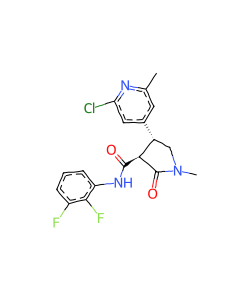 Cc1cc([C@@H]2CN(C)C(=O)[C@H]2C(=O)Nc2cccc(F)c2F)cc(Cl)n1